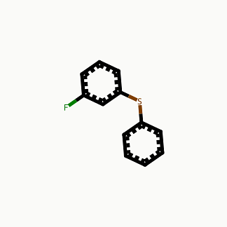 Fc1cccc(Sc2ccccc2)c1